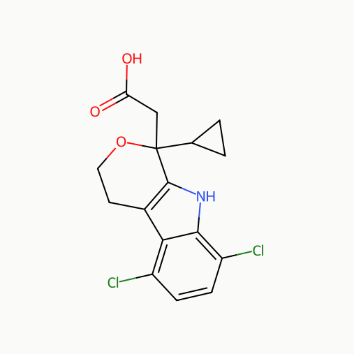 O=C(O)CC1(C2CC2)OCCc2c1[nH]c1c(Cl)ccc(Cl)c21